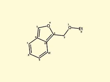 [CH2]COCc1occ2ccccc12